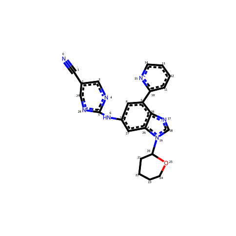 N#Cc1cnc(Nc2cc(-c3ccccn3)c3ncn(C4CCCCO4)c3c2)nc1